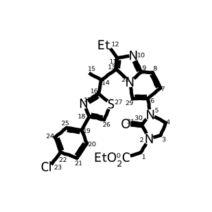 CCOC(=O)CN1CCN(c2ccc3nc(CC)c(C(C)c4nc(-c5ccc(Cl)cc5)cs4)n3c2)C1=O